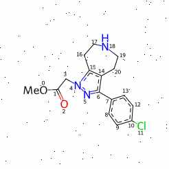 COC(=O)Cn1nc(-c2ccc(Cl)cc2)c2c1CCNCC2